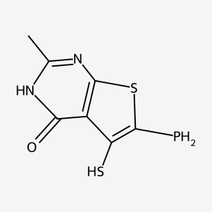 Cc1nc2sc(P)c(S)c2c(=O)[nH]1